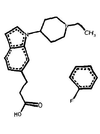 CCN1CCC(n2ccc3ccc(CCC(=O)O)cc32)CC1.Fc1ccccc1